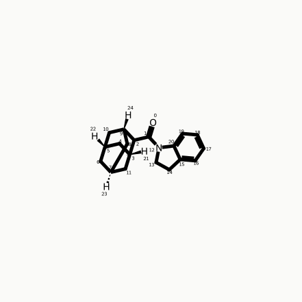 O=C(C1[C@H]2C[C@@H]3C[C@@H](C[C@@H]1C3)C2)N1CCc2ccccc21